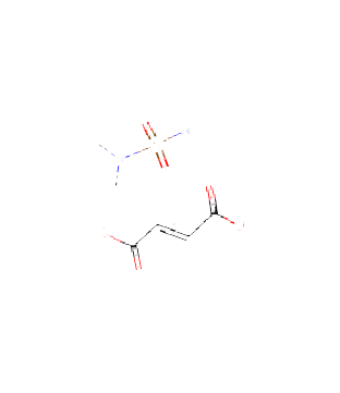 CN(C)S(N)(=O)=O.O=C(O)/C=C/C(=O)O